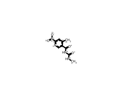 CNC(=O)NC(=O)c1cnc([N+](=O)[O-])cc1C